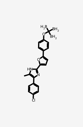 BC(B)(B)Oc1ccc(-c2ccc(-c3nc(-c4ccc(Cl)cc4)c(C)[nH]3)o2)cc1